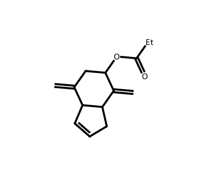 C=C1CC(OC(=O)CC)C(=C)C2CC=CC12